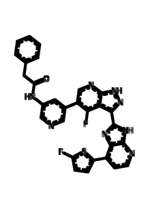 O=C(Cc1ccccc1)Nc1cncc(-c2cnc3[nH]nc(-c4nc5c(-c6ccc(F)s6)ccnc5[nH]4)c3c2F)c1